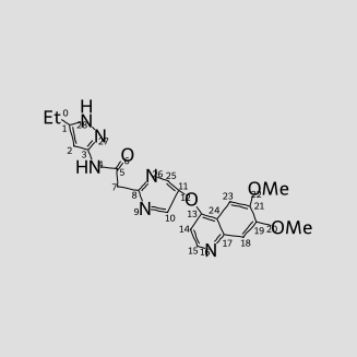 CCc1cc(NC(=O)Cc2ncc(Oc3ccnc4cc(OC)c(OC)cc34)cn2)n[nH]1